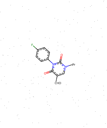 CC(C)n1cc([C]=O)c(=O)n(-c2ccc(F)cc2)c1=O